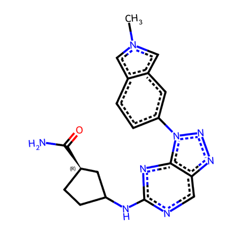 Cn1cc2ccc(-n3nnc4cnc(NC5CC[C@@H](C(N)=O)C5)nc43)cc2c1